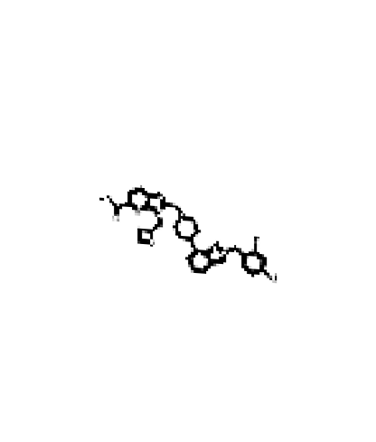 O=C(O)c1ccc2nc(CN3CCC(c4cccc5cn(Cc6ccc(Cl)cc6F)nc45)CC3)n(CC3CCO3)c2n1